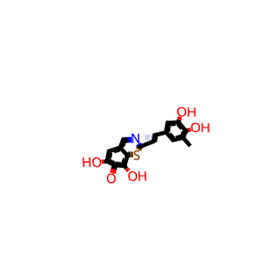 Cc1cc(/C=C/c2ncc3cc(O)c(=O)c(O)c-3s2)cc(O)c1O